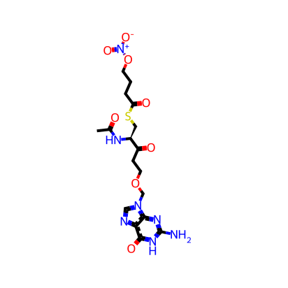 CC(=O)N[C@@H](CSC(=O)CCCO[N+](=O)[O-])C(=O)CCOCn1cnc2c(=O)[nH]c(N)nc21